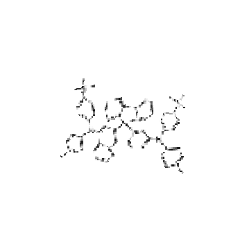 Cc1ccc(N(c2ccc([Si](C)(C)C)cc2)c2ccc3c(c2)C2(c4ccccc4-c4ccccc42)c2cc(N(c4ccc(C)cc4)c4ccc([Si](C)(C)C)cc4)c4ccccc4c2-3)cc1